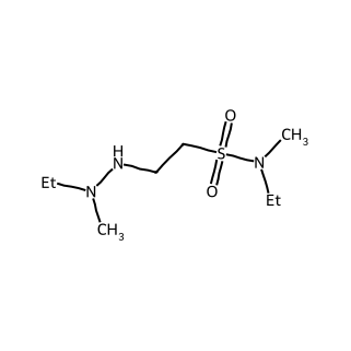 CCN(C)NCCS(=O)(=O)N(C)CC